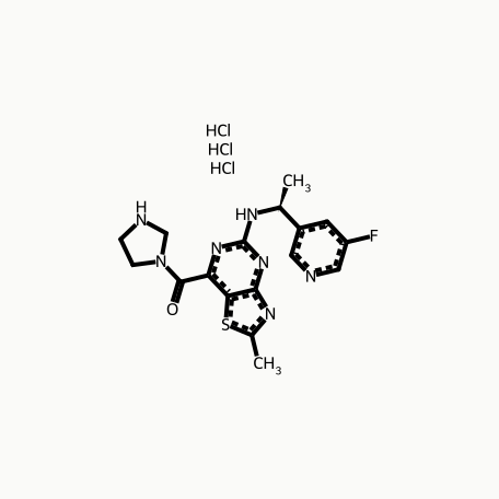 Cc1nc2nc(N[C@@H](C)c3cncc(F)c3)nc(C(=O)N3CCNC3)c2s1.Cl.Cl.Cl